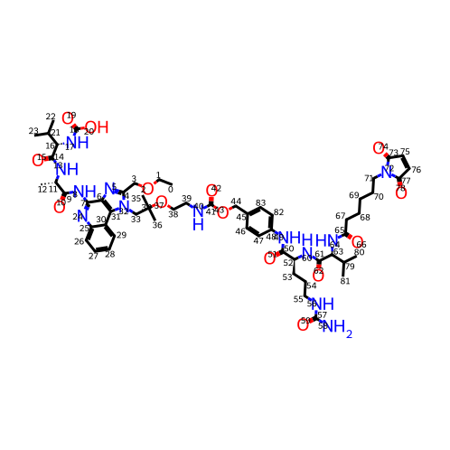 CCOCc1nc2c(NC(=O)[C@H](C)NC(=O)[C@@H](NC(=O)O)C(C)C)nc3ccccc3c2n1CC(C)(C)OCCNC(=O)OCc1ccc(NC(=O)[C@H](CCCNC(N)=O)NC(=O)[C@@H](NC(=O)CCCCCN2C(=O)C=CC2=O)C(C)C)cc1